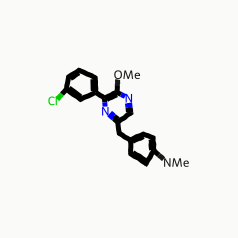 CNc1ccc(Cc2cnc(OC)c(-c3cccc(Cl)c3)n2)cc1